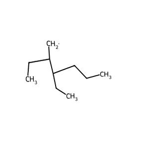 [CH2]C(CC)C(CC)CCC